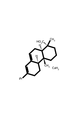 CC(C)C1=CC2=CC[C@@H]3[C@](C)(CCC[C@@]3(C)C(=O)O)[C@H]2CC1.[CaH2]